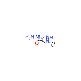 NNC(=O)C1=CN(C2CCC2)NC1